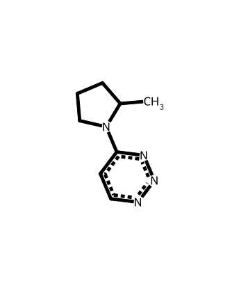 CC1CCCN1c1ccnnn1